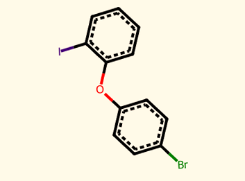 Brc1ccc(Oc2ccccc2I)cc1